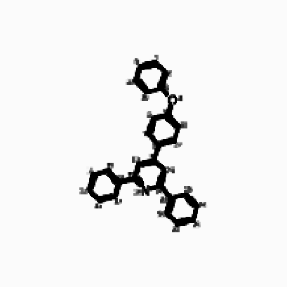 c1ccc(Oc2ccc(-c3cc(-c4ccccc4)nc(-c4ccccc4)c3)cc2)cc1